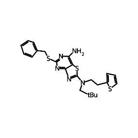 CC(C)(C)CN(CCc1cccs1)c1nc2nc(SCc3ccccc3)nc(N)c2s1